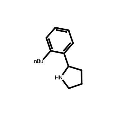 CCCCc1ccccc1C1CCCN1